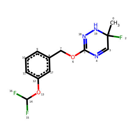 CC1(F)C=NC(OCc2cccc(OC(F)F)c2)=NN1